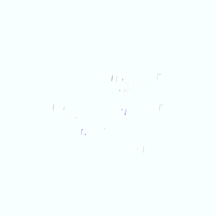 COCC(c1ccc(C(c2ccc(Cl)cc2)N2CC(=C(c3cc(F)cc(F)c3)S(C)(=O)=O)C2)cc1)N1CCCC1